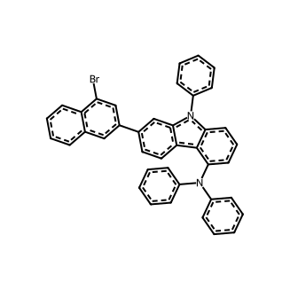 Brc1cc(-c2ccc3c4c(N(c5ccccc5)c5ccccc5)cccc4n(-c4ccccc4)c3c2)cc2ccccc12